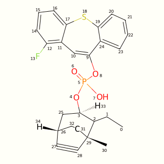 CCC1[C@H](OP(=O)(O)OC2=Cc3c(F)cccc3Sc3ccccc32)C[C@H]2C#C[C@]1(C)CC2